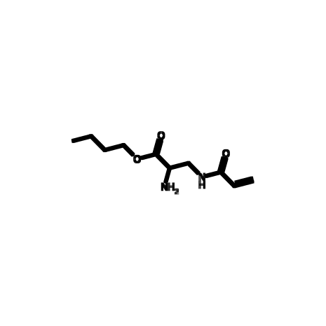 C=CC(=O)NCC(N)C(=O)OCCCC